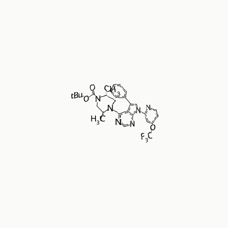 C[C@@H]1CN(c2ncnc3c2c(-c2ccccc2)cn3-c2cc(OC(F)(F)F)ccn2)[C@@H](C)CN1C(=O)OC(C)(C)C